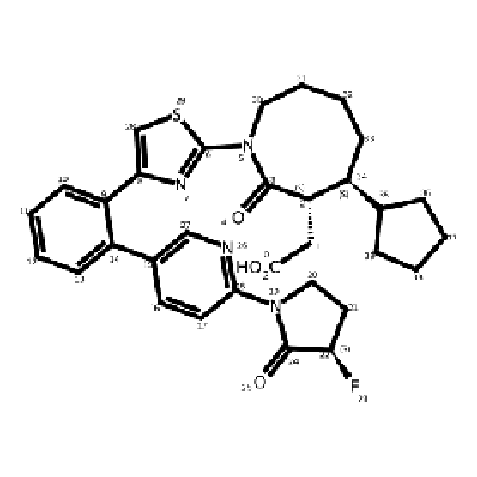 O=C(O)C[C@@H]1C(=O)N(c2nc(-c3ccccc3-c3ccc(N4CC[C@@H](F)C4=O)nc3)cs2)CCCC[C@H]1C1CCCC1